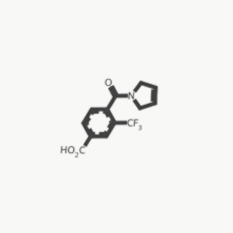 O=C(O)c1ccc(C(=O)N2CC=CC2)c(C(F)(F)F)c1